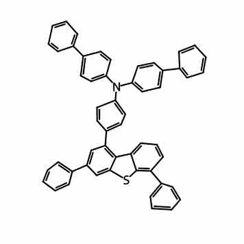 c1ccc(-c2ccc(N(c3ccc(-c4ccccc4)cc3)c3ccc(-c4cc(-c5ccccc5)cc5sc6c(-c7ccccc7)cccc6c45)cc3)cc2)cc1